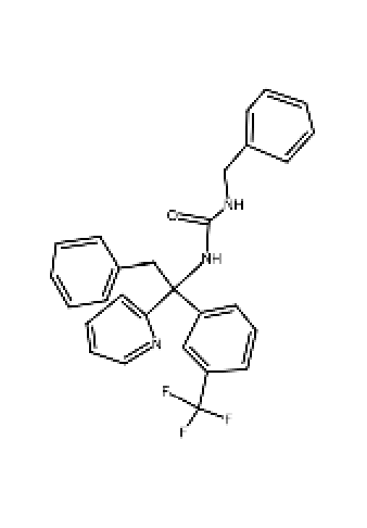 O=C(NCc1ccccc1)NC(Cc1ccccc1)(c1cccc(C(F)(F)F)c1)c1ccccn1